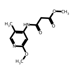 COC(=O)CC(=O)Nc1cc(OC)ncc1C